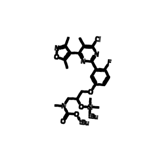 Cc1noc(C)c1-c1nc(-c2cc(OCC(CN(C)C(=O)OC(C)(C)C)O[Si](C)(C)C(C)(C)C)ccc2F)nc(Cl)c1C